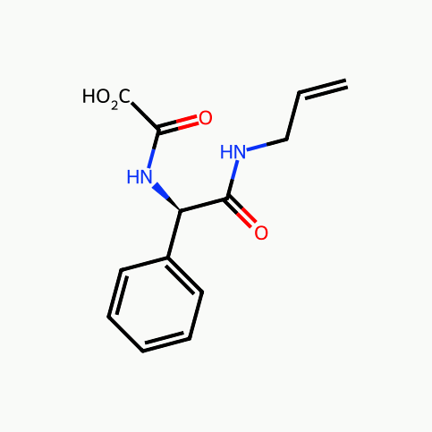 C=CCNC(=O)[C@H](NC(=O)C(=O)O)c1ccccc1